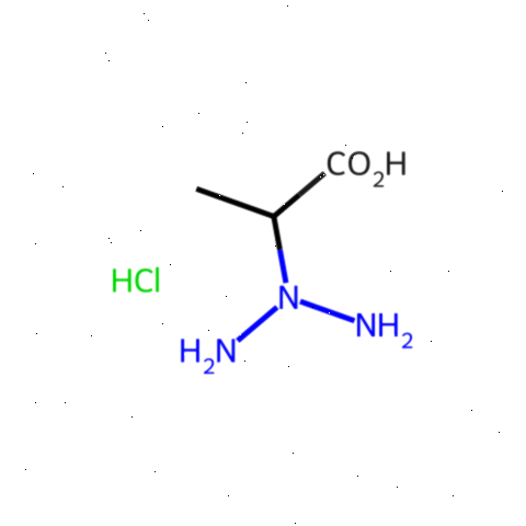 CC(C(=O)O)N(N)N.Cl